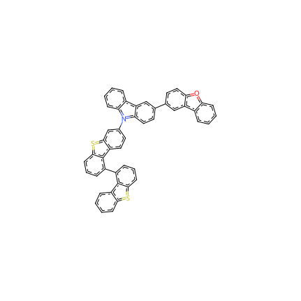 c1ccc2c(c1)oc1ccc(-c3ccc4c(c3)c3ccccc3n4-c3ccc4c(c3)sc3cccc(-c5cccc6sc7ccccc7c56)c34)cc12